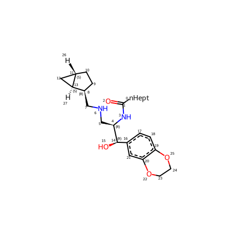 CCCCCCCC(=O)N[C@H](CNC[C@@H]1CC[C@H]2C[C@H]12)[C@H](O)c1ccc2c(c1)OCCO2